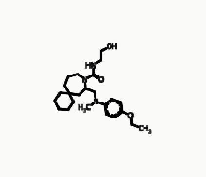 CCOc1ccc(N(C)CC2CC3(CCCCC3)CCCN2C(=O)NCCO)cc1